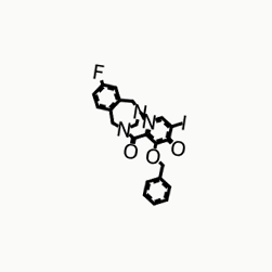 O=C1c2c(OCc3ccccc3)c(=O)c(I)cn2N2Cc3cc(F)ccc3CN1C2